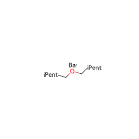 CCCC(C)COCC(C)CCC.[Ba]